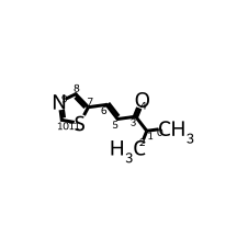 CC(C)C(=O)C=Cc1cncs1